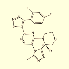 CC[C@]12COCCN1c1nc(-c3snnc3-c3ccc(F)cc3F)ncc1-n1c(C)nnc12